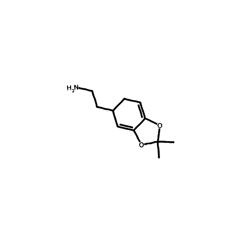 CC1(C)OC2=CCC(CCN)C=C2O1